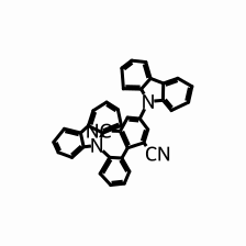 N#Cc1cc(-n2c3ccccc3c3ccccc32)cc(C#N)c1-c1ccccc1-n1c2ccccc2c2ccccc21